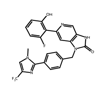 Cn1cc(C(F)(F)F)nc1-c1ccc(Cn2c(=O)[nH]c3cnc(-c4c(O)cccc4F)cc32)cc1